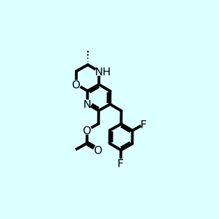 CC(=O)OCc1nc2c(cc1Cc1ccc(F)cc1F)N[C@@H](C)CO2